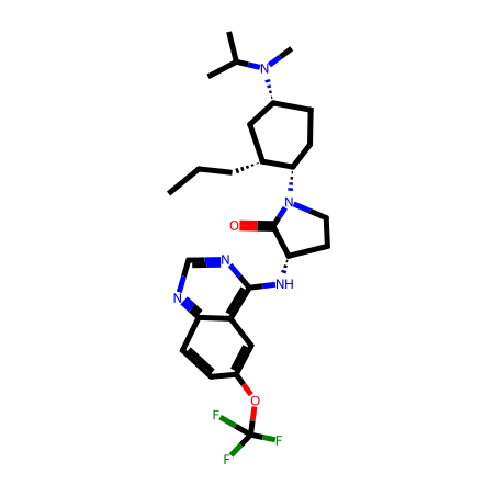 CCC[C@@H]1C[C@H](N(C)C(C)C)CC[C@@H]1N1CC[C@H](Nc2ncnc3ccc(OC(F)(F)F)cc23)C1=O